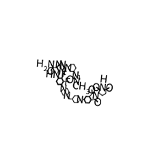 CN1CCN([C@@H]2CCCN(c3nnc(C(N)=O)c(Nc4ccc(N5CCN(CC6CCN(c7ccc8c(c7)C(=O)N(C7CCC(=O)NC7=O)C8=O)CC6)CC5)c(F)c4F)n3)C2)C1=O